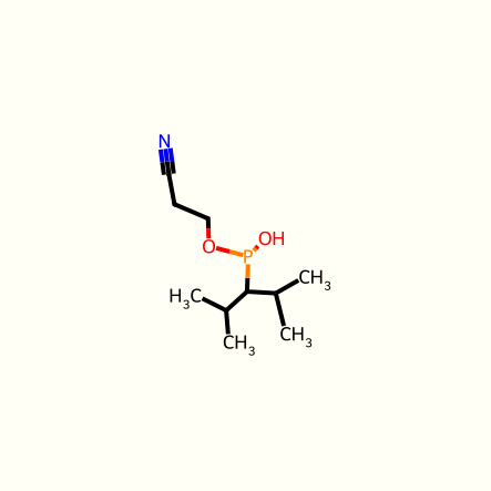 CC(C)C(C(C)C)P(O)OCCC#N